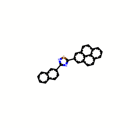 c1ccc2cc(-c3nsc(-c4cc5ccc6cccc7ccc(c4)c5c67)n3)ccc2c1